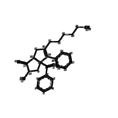 C=C(c1ccccc1)C12CC(O)C(=O)C1CC(CCCCCC)=C2c1ccccc1